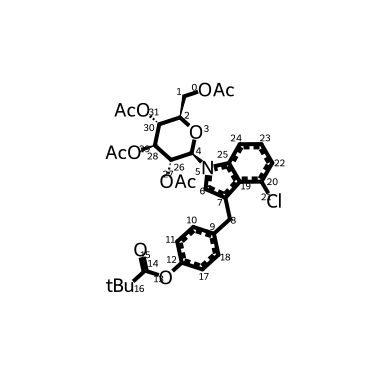 CC(=O)OC[C@H]1O[C@@H](n2cc(Cc3ccc(OC(=O)C(C)(C)C)cc3)c3c(Cl)cccc32)[C@H](OC(C)=O)[C@@H](OC(C)=O)[C@@H]1OC(C)=O